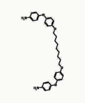 Nc1ccc(Oc2ccc(OCCCCCCCCCOc3ccc(Oc4ccc(N)cc4)cc3)cc2)cc1